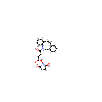 O=C(CCC(=O)N1Cc2ccccc2/C=C\c2ccccc21)ON1C(=O)CCC1=O